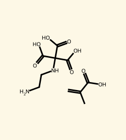 C=C(C)C(=O)O.NCCNC(C(=O)O)(C(=O)O)C(=O)O